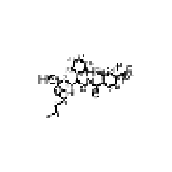 CCCCOCC(CC(=O)O)C(CNC(=O)c1ccc(C(F)(F)F)cc1F)c1ccccc1